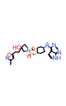 Cc1cc(CCC2(O)CCN(S(=O)(=O)C[C@H]3CC[C@H](N(C)c4ncnc5[nH]ccc45)CC3)C2)on1